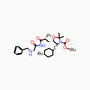 CC[C@H](C)[C@H](NCc1ccccc1)C(=O)NC(=O)[C@@H](C[C@@H]1OC(C)(C)N(C(=O)OC(C)(C)C)[C@H]1CC1CCCCC1)C(C)C